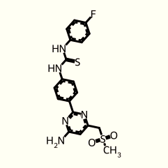 CS(=O)(=O)Cc1cc(N)nc(-c2ccc(NC(=S)Nc3ccc(F)cc3)cc2)n1